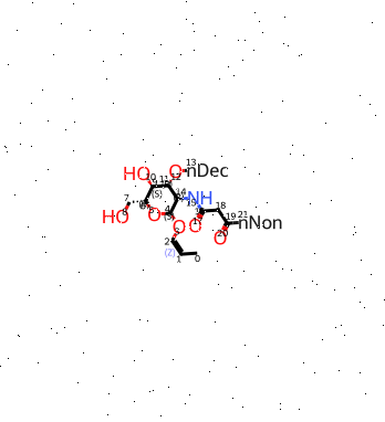 C/C=C\O[C@H]1O[C@H](CO)[C@@H](O)[C@H](OCCCCCCCCCC)[C@H]1NC(=O)CC(=O)CCCCCCCCC